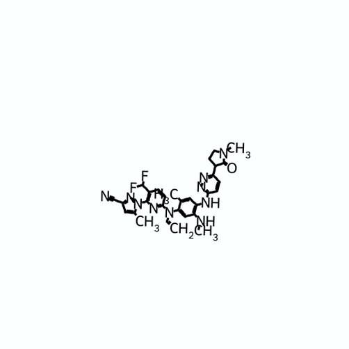 C=CN(c1ccc(C(F)F)c(-n2nc(C#N)cc2C)n1)c1cc(NC)c(Nc2ccc(C3CCN(C)C3=O)nn2)cc1C